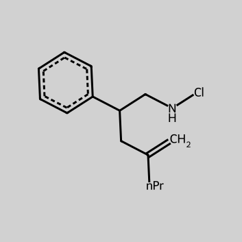 C=C(CCC)CC(CNCl)c1ccccc1